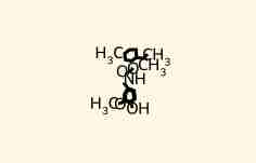 COc1cc(CNC(=O)OC2CC(C)CCC2C(C)C)ccc1O